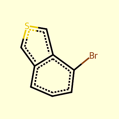 Brc1cccc2cscc12